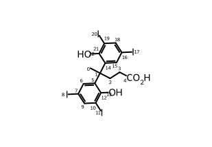 CC(CCC(=O)O)(c1cc(I)cc(I)c1O)c1cc(I)cc(I)c1O